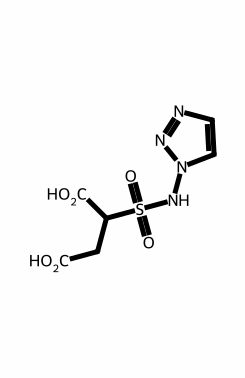 O=C(O)CC(C(=O)O)S(=O)(=O)Nn1ccnn1